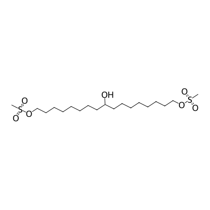 CS(=O)(=O)OCCCCCCCCC(O)CCCCCCCCOS(C)(=O)=O